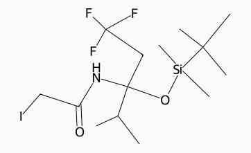 CC(C)C(CC(F)(F)F)(NC(=O)CI)O[Si](C)(C)C(C)(C)C